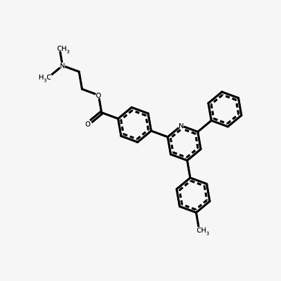 Cc1ccc(-c2cc(-c3ccccc3)nc(-c3ccc(C(=O)OCCN(C)C)cc3)c2)cc1